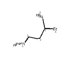 CCCCC[CH]CC(CC)CCCC